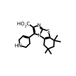 CC1(C)Cc2c(sc3nc(C(=O)O)c(C4=CCNCC4)n23)C(C)(C)C1